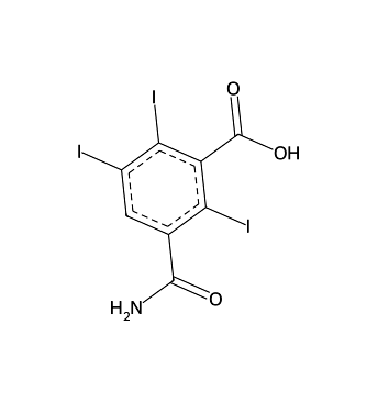 NC(=O)c1cc(I)c(I)c(C(=O)O)c1I